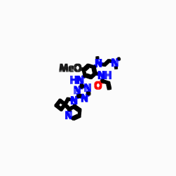 C=CC(=O)Nc1cc(Nc2ncnc(N3CC4(CCC4)c4ncccc43)n2)c(OC)cc1N(C)CCN(C)C